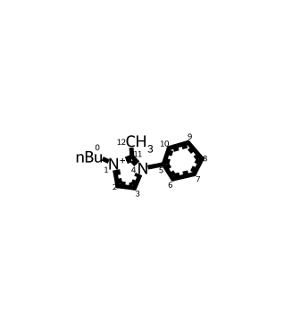 CCCC[n+]1ccn(-c2ccccc2)c1C